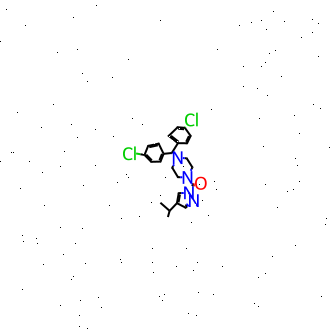 CC(C)c1cnn(C(=O)N2CCN(C(c3ccc(Cl)cc3)c3ccc(Cl)cc3)CC2)c1